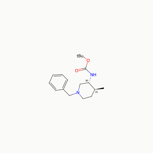 C[C@H]1CCN(Cc2ccccc2)C[C@@H]1NC(=O)OC(C)(C)C